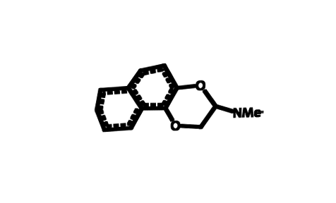 C[N]C1COc2c(ccc3ccccc23)O1